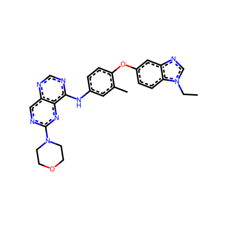 CCn1cnc2cc(Oc3ccc(Nc4ncnc5cnc(N6CCOCC6)nc45)cc3C)ccc21